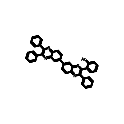 CC(=O)c1ccccc1-c1nc2cc(-c3ccc4nc(-c5ccccc5)c(-c5ccccc5)nc4c3)ccc2nc1-c1ccccc1